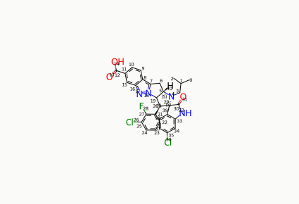 CC(C)CN1[C@H]2Cc3c4ccc(C(=O)O)cc4nn3C2[C@H](c2cccc(Cl)c2F)[C@]12C(=O)Nc1cc(Cl)ccc12